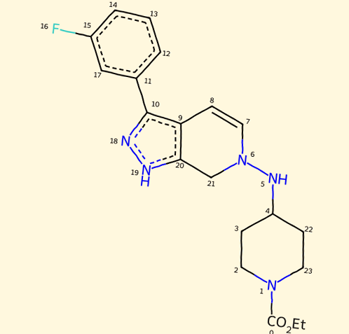 CCOC(=O)N1CCC(NN2C=Cc3c(-c4cccc(F)c4)n[nH]c3C2)CC1